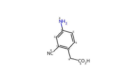 N#Cc1cc(N)ccc1CC(=O)O